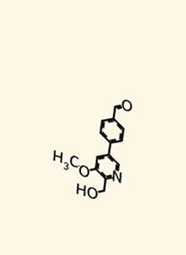 COc1cc(-c2ccc(C=O)cc2)cnc1CO